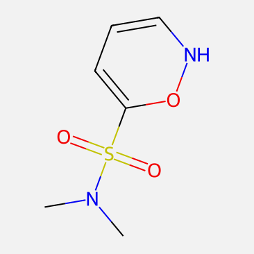 CN(C)S(=O)(=O)C1=CC=CNO1